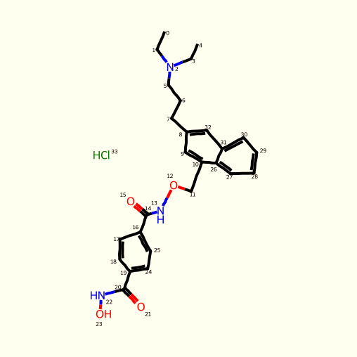 CCN(CC)CCCc1cc(CONC(=O)c2ccc(C(=O)NO)cc2)c2ccccc2c1.Cl